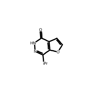 CC(C)c1n[nH]c(=O)c2ccoc12